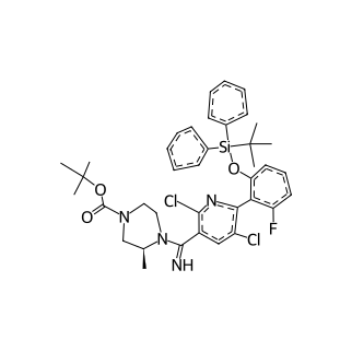 C[C@H]1CN(C(=O)OC(C)(C)C)CCN1C(=N)c1cc(Cl)c(-c2c(F)cccc2O[Si](c2ccccc2)(c2ccccc2)C(C)(C)C)nc1Cl